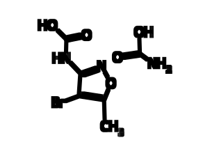 Cc1onc(NC(=O)O)c1Br.NC(=O)O